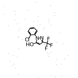 Oc1cc(C(F)(F)F)nn1-c1ccccc1Cl